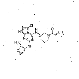 C=CC(=O)N1CCC[C@@H](Nc2nc(Nc3cnoc3C)nc3[nH]nc(Cl)c23)C1